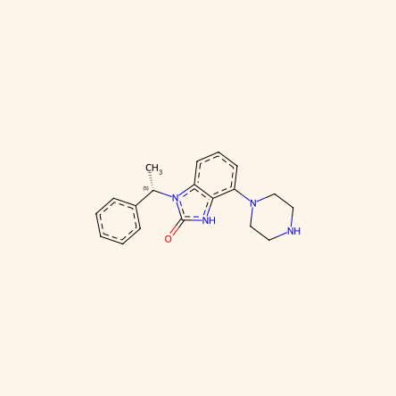 C[C@@H](c1ccccc1)n1c(=O)[nH]c2c(N3CCNCC3)cccc21